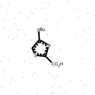 CCCCc1csc(C(=O)O)n1